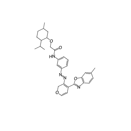 Cc1ccc2nc(C3=C(N=Nc4cccc(NC(=O)COC5CC(C)CCC5C(C)C)c4)COC=C3)oc2c1